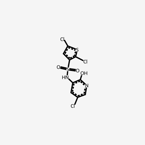 O=S(=O)(Nc1cc(Cl)cnc1O)c1cc(Cl)sc1Cl